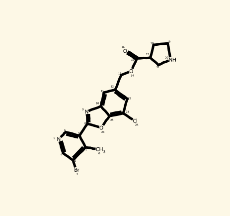 Cc1c(Br)cncc1-c1nc2cc(COC(=O)C3CCNC3)cc(Cl)c2o1